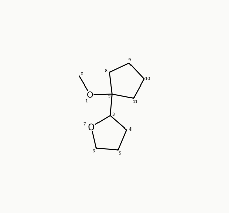 COC1(C2CCCO2)CCCC1